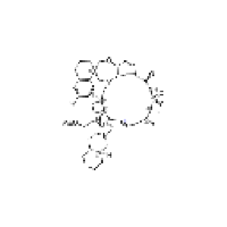 COCCO[C@]1(CN2CCN3CCCC[C@@H]3C2)/C=C/C[C@H](C)[C@@H](C)S(=O)(=O)NC(=O)c2ccc3c(c2)N(C[C@@H]2CC[C@H]21)C[C@@]1(CCCc2cc(Cl)ccc21)CO3